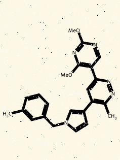 COc1ncc(-c2cc(-c3ccn(Cc4cccc(C)c4)c3)c(C)nn2)c(OC)n1